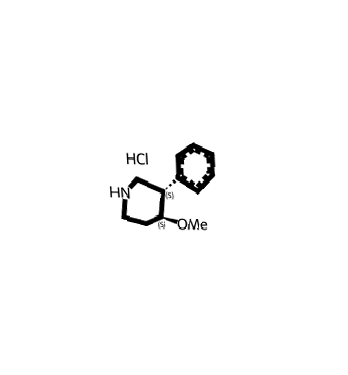 CO[C@H]1CCNC[C@@H]1c1ccccc1.Cl